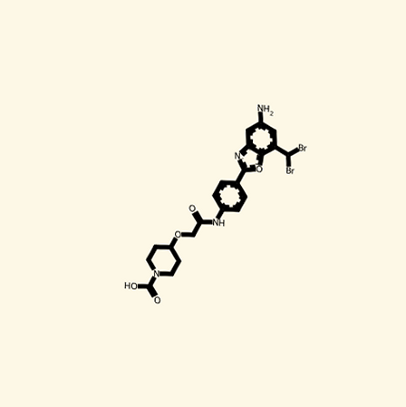 Nc1cc(C(Br)Br)c2oc(-c3ccc(NC(=O)COC4CCN(C(=O)O)CC4)cc3)nc2c1